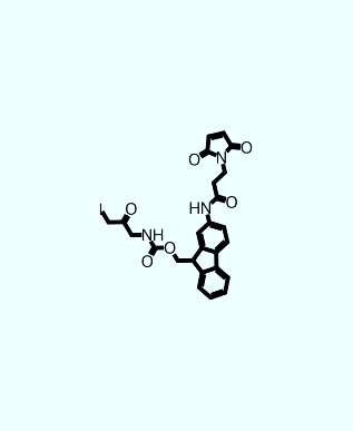 O=C(CI)CNC(=O)OCC1c2ccccc2-c2ccc(NC(=O)CCN3C(=O)C=CC3=O)cc21